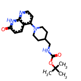 CC(C)(C)OC(=O)NCC1CCN(c2ccnc3[nH]c(=O)ccc23)CC1